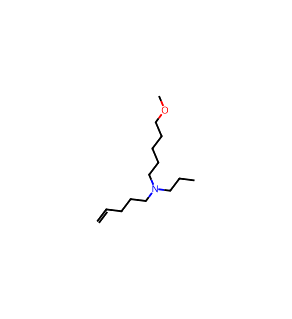 C=CCCCN(CCC)CCCCCOC